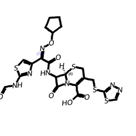 O=CNc1nc(/C(=N/OC2CCCC2)C(=O)NC2C(=O)N3C(C(=O)O)=C(CSc4nncs4)CS[C@H]23)cs1